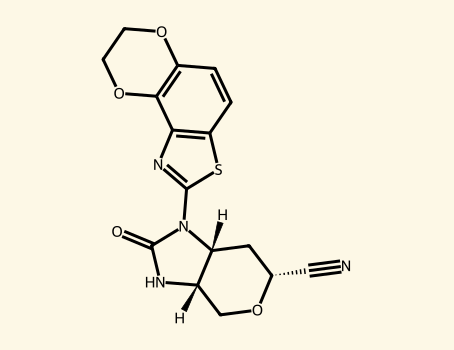 N#C[C@H]1C[C@@H]2[C@H](CO1)NC(=O)N2c1nc2c3c(ccc2s1)OCCO3